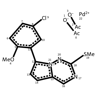 CC(=O)[O-].CC(=O)[O-].COc1ccc(Cl)cc1-c1ccc2cnc(SC)nn12.[Pd+2]